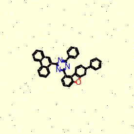 C1=CC(c2ccccc2)Cc2oc3cccc(-c4nc(-c5ccccc5)nc(-c5cc6ccccc6c6ccccc56)n4)c3c21